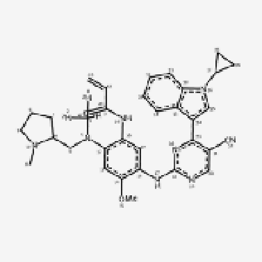 [2H]C([2H])([2H])N(CC1CCCN1C)c1cc(OC)c(Nc2ncc(C#N)c(-c3cn(C4CC4)c4ccccc34)n2)cc1NC(=O)C=C